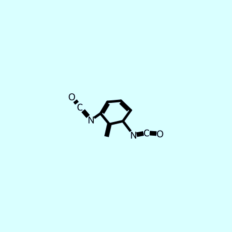 C=C1C(N=C=O)=CC=CC1N=C=O